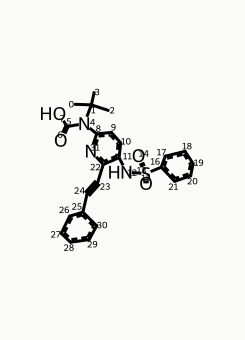 CC(C)(C)N(C(=O)O)c1ccc(NS(=O)(=O)c2ccccc2)c(C#Cc2ccccc2)n1